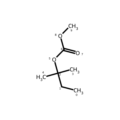 CCC(C)(C)OC(=O)OC